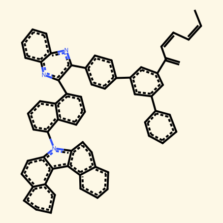 C=C(/C=C\C=C/C)c1cc(-c2ccccc2)cc(-c2ccc(-c3nc4ccccc4nc3-c3cccc4c(-n5c6ccc7ccccc7c6c6c7ccccc7ccc65)cccc34)cc2)c1